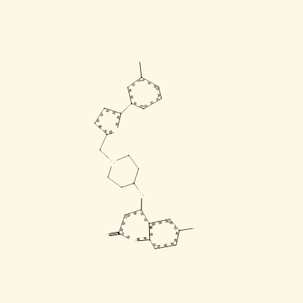 Cc1ccc2oc(=O)cc(NC3CCN(Cc4ccc(-c5cccc(Cl)c5)o4)CC3)c2c1